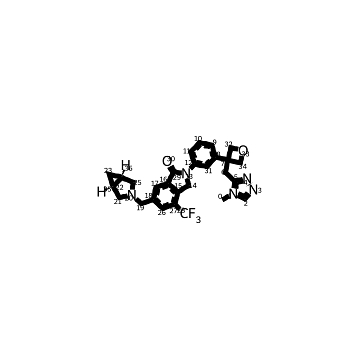 Cn1cnnc1CC1(c2cccc(N3Cc4c(cc(CN5C[C@H]6C[C@H]6C5)cc4C(F)(F)F)C3=O)c2)COC1